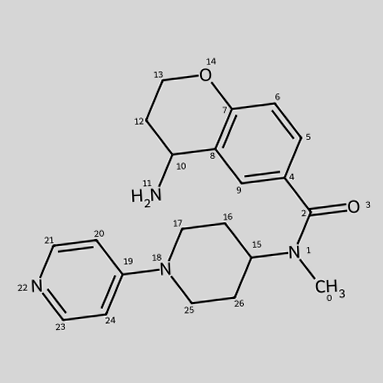 CN(C(=O)c1ccc2c(c1)C(N)CCO2)C1CCN(c2ccncc2)CC1